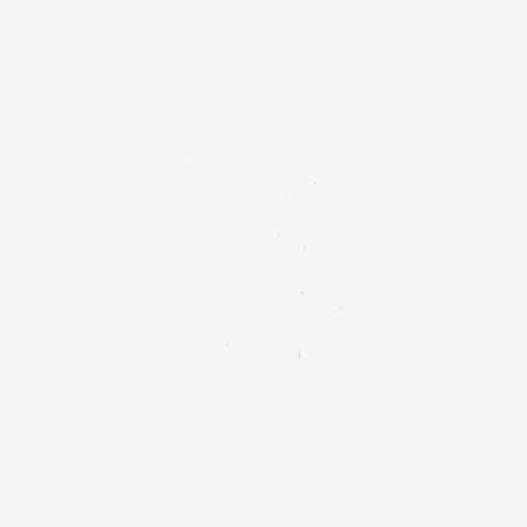 O=C(OOC(=O)OC(C(F)(F)F)C(F)(F)F)OC(C(F)(F)F)C(F)(F)F